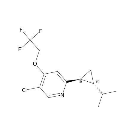 CC(C)[C@H]1C[C@@H]1c1cc(OCC(F)(F)F)c(Cl)cn1